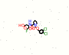 O=C(O)CC(NC(=O)C1CCCCN1C(=O)OCc1ccc(Cl)c(Cl)c1)C(=O)CF